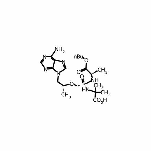 CCCCOC(=O)[C@@H](C)N[P@@](=O)(CO[C@H](C)Cn1cnc2c(N)ncnc21)NC(C)(C)C(=O)O